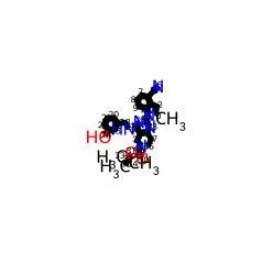 Cc1cc2c(C#N)cccc2n1-c1nc2c(c(NCc3cccc(O)c3)n1)CN(C(=O)OC(C)(C)C)CC2